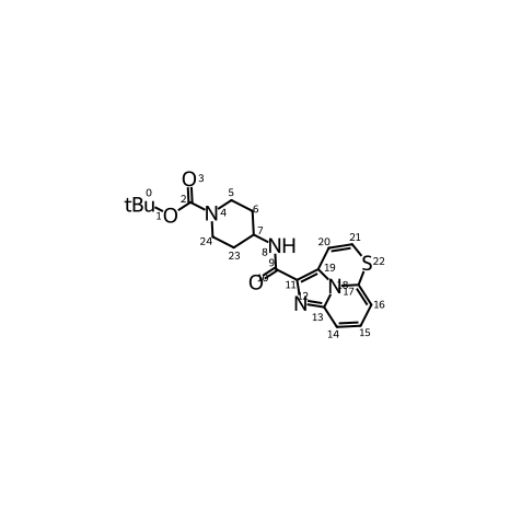 CC(C)(C)OC(=O)N1CCC(NC(=O)c2nc3cccc4n3c2C=CS4)CC1